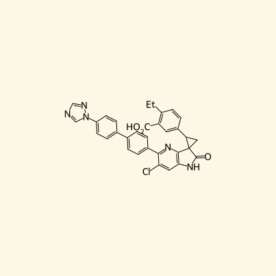 CCc1ccc(C2CC23C(=O)Nc2cc(Cl)c(-c4ccc(-c5ccc(-n6cncn6)cc5)cc4)nc23)cc1C(=O)O